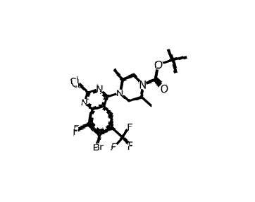 CC1CN(c2nc(Cl)nc3c(F)c(Br)c(C(F)(F)F)cc23)C(C)CN1C(=O)OC(C)(C)C